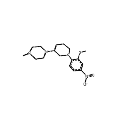 COc1cc([N+](=O)[O-])ccc1N1CCCC(N2CCN(C)CC2)C1